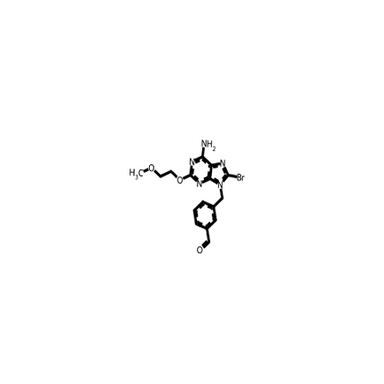 COCCOc1nc(N)c2nc(Br)n(Cc3cccc(C=O)c3)c2n1